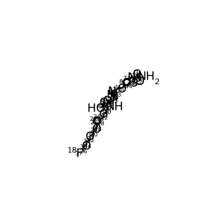 NS(=O)(=O)c1nc2ccc(OCc3cn(CC(=O)N[C@@H](COCc4cccc(OCCOCCOCC[18F])c4)C(=O)O)nn3)cc2s1